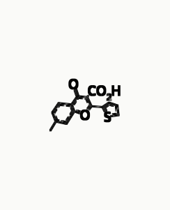 Cc1ccc2c(=O)c(C(=O)O)c(-c3cccs3)oc2c1